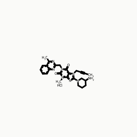 CC#CCn1c(N2CCCC(N)C2)nc2c1c(=O)n(Cc1nc(C)c3ccccc3n1)c(=O)n2C.Cl